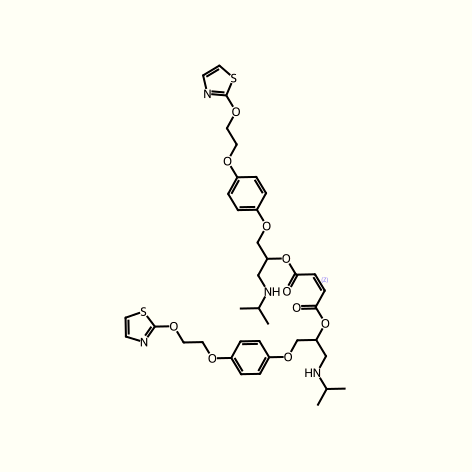 CC(C)NCC(COc1ccc(OCCOc2nccs2)cc1)OC(=O)/C=C\C(=O)OC(CNC(C)C)COc1ccc(OCCOc2nccs2)cc1